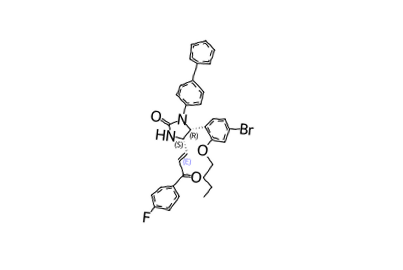 CCCCOc1cc(Br)ccc1[C@@H]1[C@H](/C=C/C(=O)c2ccc(F)cc2)NC(=O)N1c1ccc(-c2ccccc2)cc1